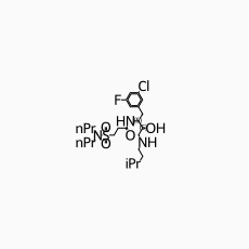 CCCN(CCC)S(=O)(=O)CCC(=O)N[C@@H](Cc1cc(F)cc(Cl)c1)[C@@H](O)CNCCC(C)C